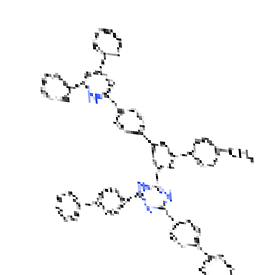 Cc1ccc(-c2cc(-c3ccc(-c4cc(-c5ccccc5)cc(-c5ccccc5)n4)cc3)cc(-c3nc(-c4ccc(-c5ccccc5)cc4)nc(-c4ccc(-c5ccccc5)cc4)n3)c2)cc1